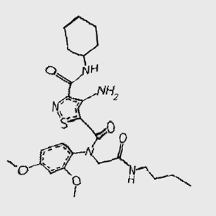 CCCCNC(=O)CN(C(=O)c1snc(C(=O)NC2CCCCC2)c1N)c1ccc(OC)cc1OC